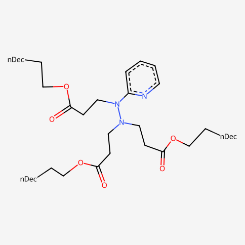 CCCCCCCCCCCCOC(=O)CCN(CCC(=O)OCCCCCCCCCCCC)N(CCC(=O)OCCCCCCCCCCCC)c1ccccn1